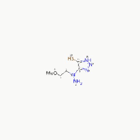 COCCN(N)c1nn[nH]c1S